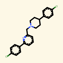 Clc1ccc(-c2cccc(CN3CCC(c4ccc(Cl)cc4)CC3)n2)cc1